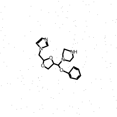 c1ccc(OC(C2COC(Cn3ccnc3)O2)N2CCNCC2)cc1